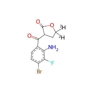 [2H]C1([2H])CC(C(=O)c2ccc(Br)c(F)c2N)C(=O)O1